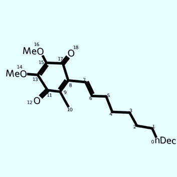 CCCCCCCCCCCCCCCC=CC1=C(C)C(=O)C(OC)=C(OC)C1=O